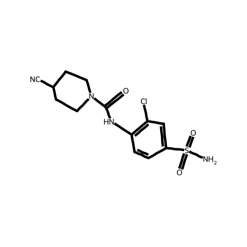 N#CC1CCN(C(=O)Nc2ccc(S(N)(=O)=O)cc2Cl)CC1